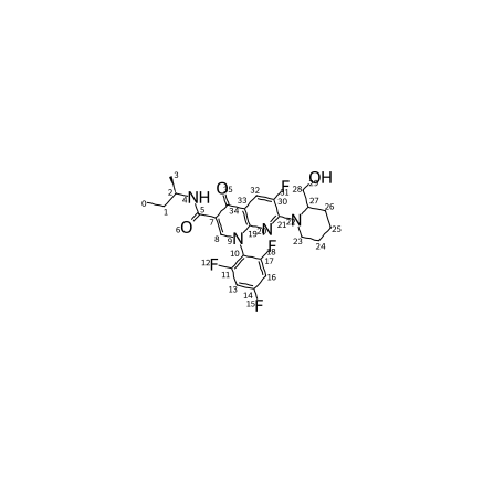 CC[C@@H](C)NC(=O)c1cn(-c2c(F)cc(F)cc2F)c2nc(N3CCCCC3CO)c(F)cc2c1=O